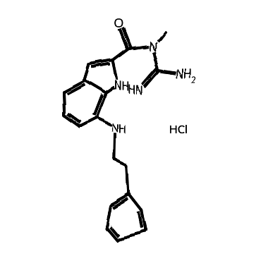 CN(C(=N)N)C(=O)c1cc2cccc(NCCc3ccccc3)c2[nH]1.Cl